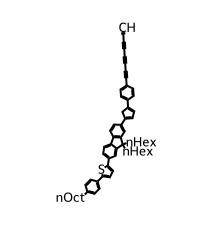 C#CC#CC#CC#Cc1ccc(C2=CC=C(c3ccc4c(c3)C(CCCCCC)(CCCCCC)c3cc(-c5ccc(-c6ccc(CCCCCCCC)cc6)s5)ccc3-4)C2)cc1